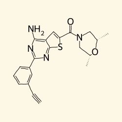 C#Cc1cccc(-c2nc(N)c3cc(C(=O)N4C[C@@H](C)O[C@@H](C)C4)sc3n2)c1